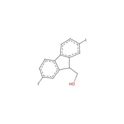 OCC1c2cc(I)ccc2-c2ccc(I)cc21